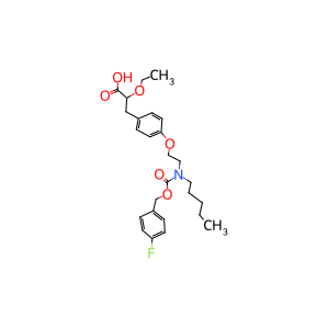 CCCCCN(CCOc1ccc(CC(OCC)C(=O)O)cc1)C(=O)OCc1ccc(F)cc1